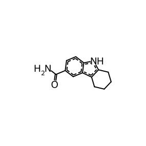 NC(=O)c1ccc2[nH]c3c(c2c1)CCCC3